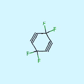 FC1(F)C#CC(F)(F)C#C1